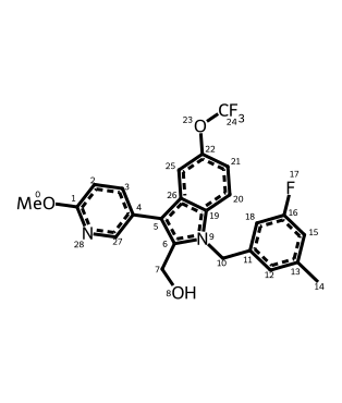 COc1ccc(-c2c(CO)n(Cc3cc(C)cc(F)c3)c3ccc(OC(F)(F)F)cc23)cn1